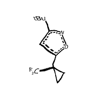 CC(C)(C)c1cc(C2(C(F)(F)F)CC2)on1